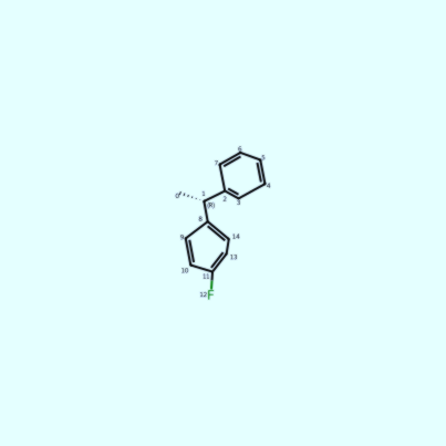 C[C@H](c1ccccc1)c1ccc(F)cc1